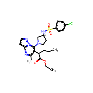 CCCC(C(=O)OCC)c1c(C)nc2ccnn2c1N1CC[C@H](NS(=O)(=O)c2ccc(Cl)cc2)C1